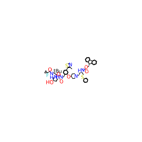 Cc1ncsc1-c1ccc(CNC(=O)[C@@H]2C[C@@H](O)CN2C(=O)[C@@H](NC(=O)C2(F)CC2)C(C)(C)C)c(OC2CCN(CC[C@H](CSc3ccccc3)NC(=O)OCC3c4ccccc4-c4ccccc43)CC2)c1